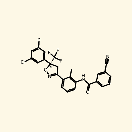 Cc1c(NC(=O)c2cccc(C#N)c2)cccc1C1=NO[C@](c2cc(Cl)cc(Cl)c2)(C(F)(F)F)C1